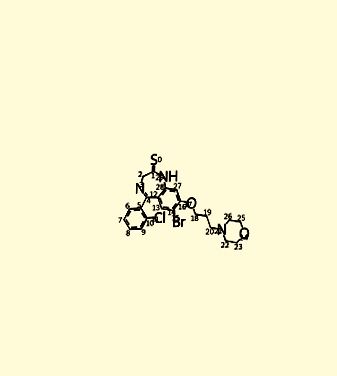 S=C1CN=C(c2ccccc2Cl)c2cc(Br)c(OCCCN3CCOCC3)cc2N1